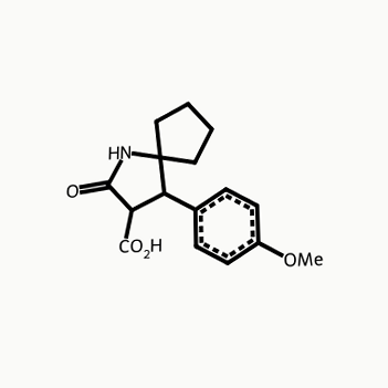 COc1ccc(C2C(C(=O)O)C(=O)NC23CCCC3)cc1